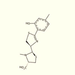 Cc1ccc(C2=N[C@@H]([C@H]3SC[C@H](C(=O)O)N3C)CS2)c(O)c1